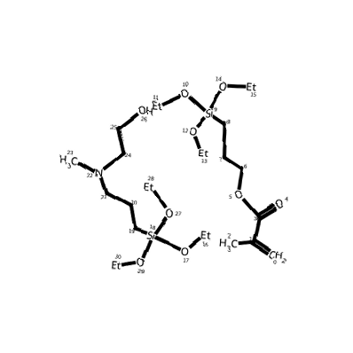 C=C(C)C(=O)OCCC[Si](OCC)(OCC)OCC.CCO[Si](CCCN(C)CCO)(OCC)OCC